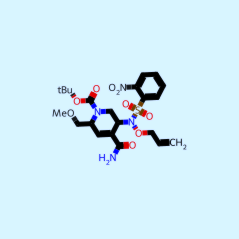 C=CCON(C1CN(C(=O)OC(C)(C)C)C(COC)C=C1C(N)=O)S(=O)(=O)c1ccccc1[N+](=O)[O-]